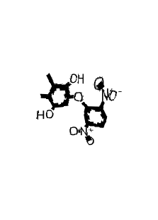 Cc1c(O)cc(Oc2cc([N+](=O)[O-])ccc2[N+](=O)[O-])c(O)c1C